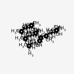 Cc1cc(C)cc(C(=O)NC(=S)N(O)c2ccc3ccccc3c2)c1.Cc1cc(C)cc(C(=O)NC(=S)Nc2c(C)cc(C)c(C)c2O)c1.Cc1cc(C)cc(C(=O)NC(=S)Nc2c(C)cc(C)cc2O)c1.Cc1cc(C)cc(C(=O)NC(=S)Nc2c(O)cc(C)c(C)c2C)c1